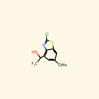 COc1cc(C(O)C(F)(F)F)c2nc(Cl)sc2c1